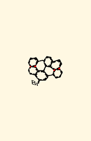 Brc1cc(-c2ccccc2)c(-c2c(-c3ccccc3)ccc3ccccc23)c2ccccc12